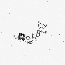 BC(B)(B)C(B)(B)S(=O)(=O)c1ccc([C@H](CO)NC(=O)c2ccc3c(c2)cc(Cc2ccc(F)cc2C(F)(F)F)n3CCF)cc1